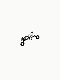 O=C(NCCc1ccccc1)ON1CCC2(CC1)CC(c1ccccc1)=NO2